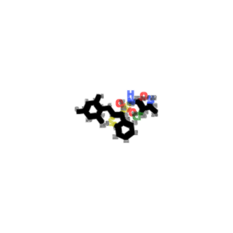 Cc1cc(C)c(Cc2sc3ccccc3c2S(=O)(=O)Nc2onc(C)c2Cl)c(C)c1